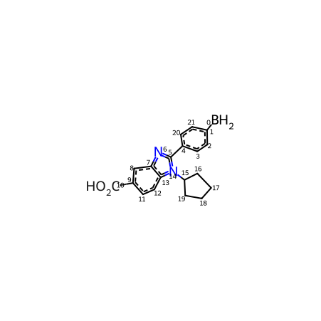 Bc1ccc(-c2nc3cc(C(=O)O)ccc3n2C2CCCC2)cc1